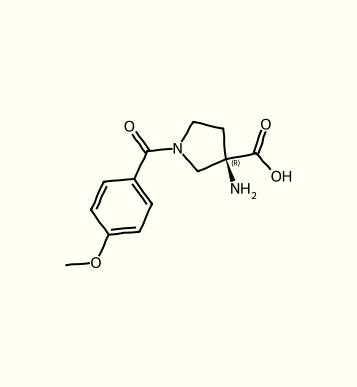 COc1ccc(C(=O)N2CC[C@](N)(C(=O)O)C2)cc1